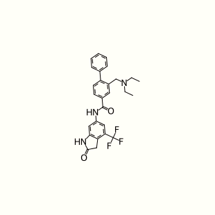 CCN(CC)Cc1cc(C(=O)Nc2cc3c(c(C(F)(F)F)c2)CC(=O)N3)ccc1-c1ccccc1